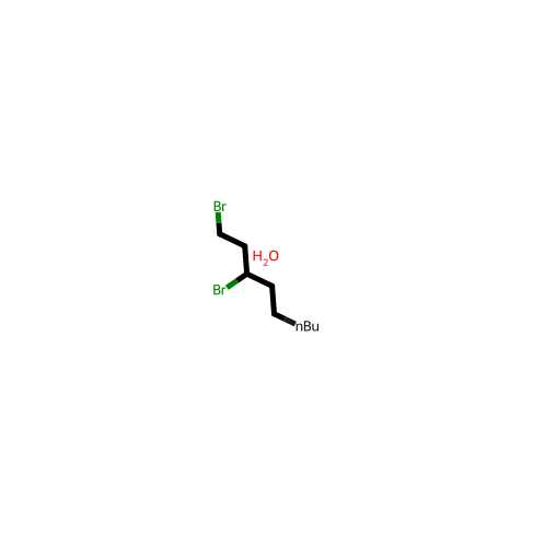 CCCCCCC(Br)CCBr.O